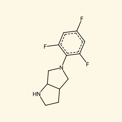 Fc1cc(F)c(N2CC3CCNC3C2)c(F)c1